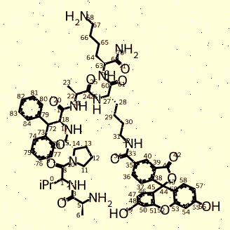 CC(C)C(NC(=O)[C@H](C)N)C(=O)N1CCC[C@H]1C(=O)N[C@H](C(=O)N[C@@H](C)C(=O)N[C@@H](CCCCNC(=O)c1ccc2c(c1)C(=O)OC21c2ccc(O)cc2Oc2cc(O)ccc21)C(=O)N[C@@H](CCCCN)C(N)=O)C(c1ccccc1)c1ccccc1